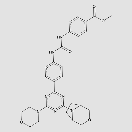 COC(=O)c1ccc(NC(=O)Nc2ccc(-c3nc(N4CCOCC4)nc(N4C5CCC4COC5)n3)cc2)cc1